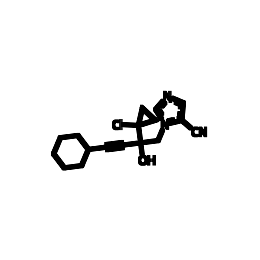 N#Cc1cncn1CC(O)(C#CC1CCCCC1)C1(Cl)CC1